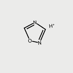 [H+].c1ncon1